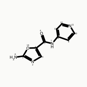 Nc1ncc(C(=O)Nc2ccncc2)o1